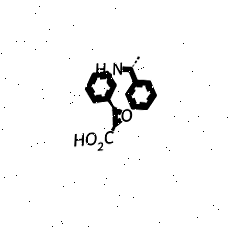 C[C@@H](N)c1ccccc1.O=C(O)[C@@H]1O[C@@H]1c1ccccc1